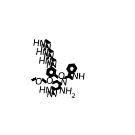 CCOCCOCCC(N=C(OCc1ccccc1)c1c[nH]c2ccccc12)C(N)c1c[nH]nn1.c1c[nH]nn1.c1c[nH]nn1.c1c[nH]nn1